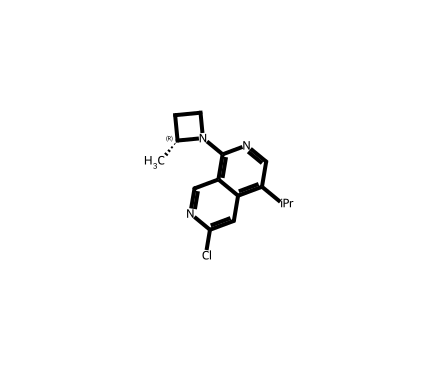 CC(C)c1cnc(N2CC[C@H]2C)c2cnc(Cl)cc12